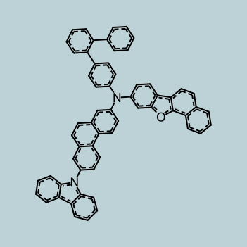 c1ccc(-c2ccccc2-c2ccc(N(c3ccc4c(ccc5cc(-n6c7ccccc7c7ccccc76)ccc54)c3)c3ccc4c(c3)oc3c5ccccc5ccc43)cc2)cc1